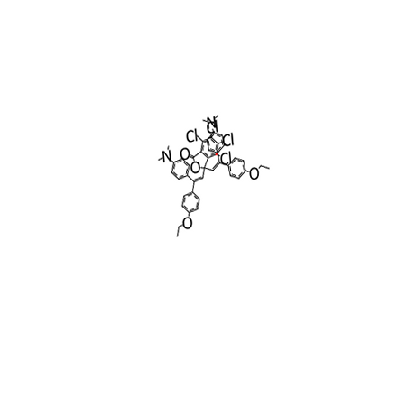 CCOc1ccc(/C(=C/C2(/C=C(/c3ccc(OCC)cc3)c3ccc(N(C)C)cc3)OC(=O)c3c(Cl)c(Cl)c(Cl)c(Cl)c32)c2ccc(N(C)C)cc2)cc1